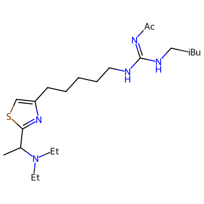 CCC(C)CNC(=NC(C)=O)NCCCCCc1csc(C(C)N(CC)CC)n1